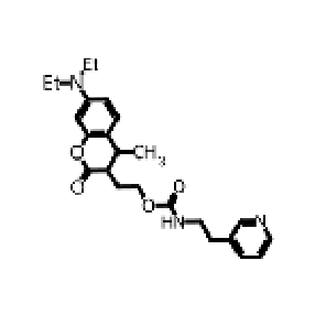 CCN(CC)c1ccc2c(c1)OC(=O)C(CCOC(=O)NCCc1cccnc1)C2C